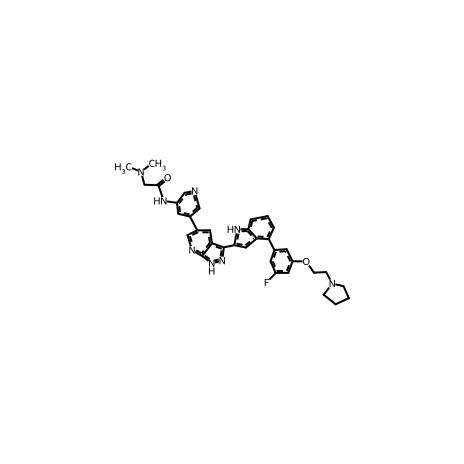 CN(C)CC(=O)Nc1cncc(-c2cnc3[nH]nc(-c4cc5c(-c6cc(F)cc(OCCN7CCCC7)c6)cccc5[nH]4)c3c2)c1